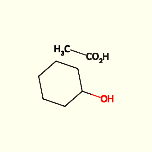 CC(=O)O.OC1CCCCC1